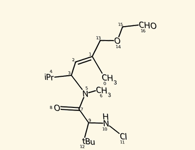 C/C(=C\C(C(C)C)N(C)C(=O)C(NCl)C(C)(C)C)COCC=O